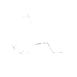 CC(C)Cc1cccnc1CN